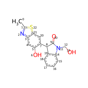 Cc1nc2cc(O)c(C3C(=O)N(CO)c4ccccc43)cc2s1